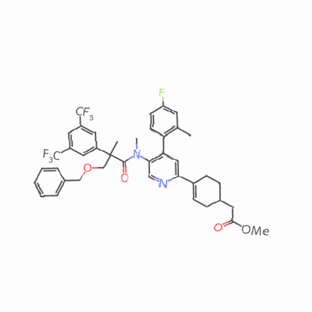 COC(=O)CC1CC=C(c2cc(-c3ccc(F)cc3C)c(N(C)C(=O)C(C)(COCc3ccccc3)c3cc(C(F)(F)F)cc(C(F)(F)F)c3)cn2)CC1